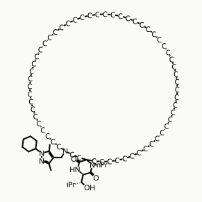 CCCN1C(=O)[C@@H]([C@H](O)C(C)C)NC(=O)C12CCCCCCCCCCCCCCCCCCCCCCCCCCCCCCCCCCCCCCCCCCCCCCCCCCCCCCCCN(Cc1c(C)nn(C3CCCCC3)c1C)CC2